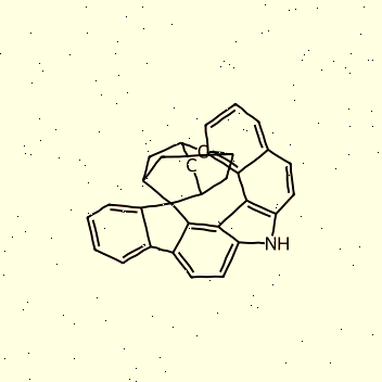 c1ccc2c(c1)-c1ccc3[nH]c4ccc5ccccc5c4c3c1C21C2CC3CC(C2)CC1C3